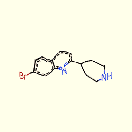 Brc1ccc2ccc(C3CCNCC3)nc2c1